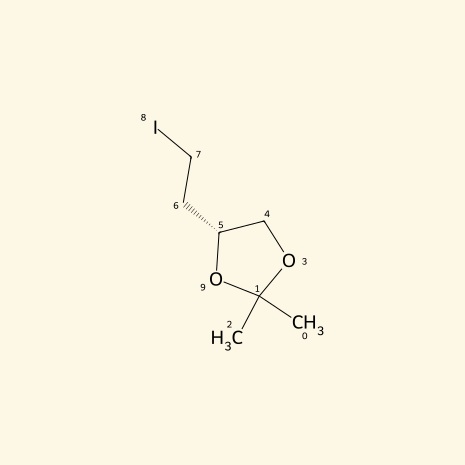 CC1(C)OC[C@@H](CCI)O1